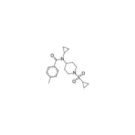 Cc1ccc(C(=O)N(C2CC2)C2CCN(S(=O)(=O)C3CC3)CC2)cc1